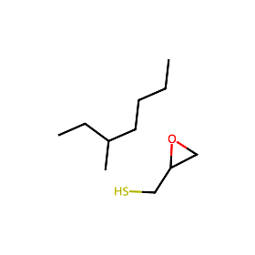 CCCCC(C)CC.SCC1CO1